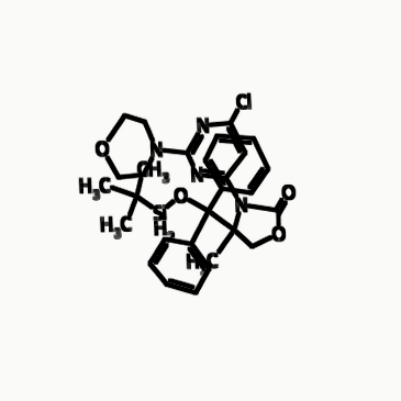 CC(C)(C)[SiH2]OC(c1ccccc1)(c1ccccc1)C1(C)COC(=O)N1c1cc(Cl)nc(N2CCOCC2)n1